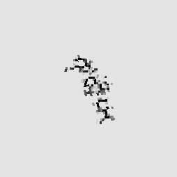 CC(=O)c1cccc(NS(=O)(=O)c2ccc3c(c2)C2NCCC2[C@H](c2ccc(C(=O)C(C)C)cc2)N3)c1